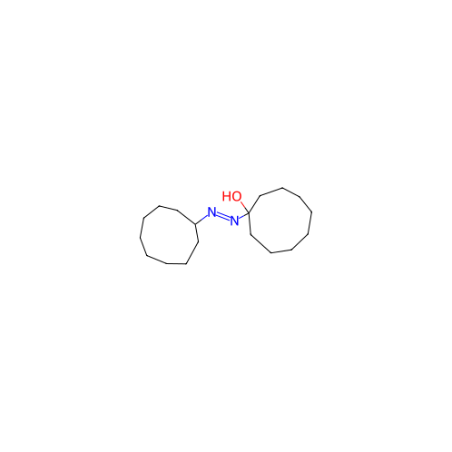 OC1(N=NC2CCCCCCCC2)CCCCCCCC1